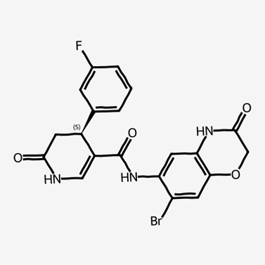 O=C1C[C@@H](c2cccc(F)c2)C(C(=O)Nc2cc3c(cc2Br)OCC(=O)N3)=CN1